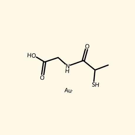 CC(S)C(=O)NCC(=O)O.[Au]